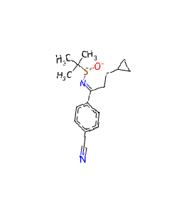 CC(C)(C)[S+]([O-])N=C(CCC1CC1)c1ccc(C#N)cc1